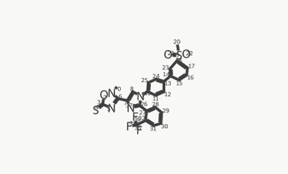 Cn1oc(=S)nc1-c1cn(-c2ccc(-c3cccc(S(C)(=O)=O)c3)cc2)c(-c2ccccc2C(F)(F)F)n1